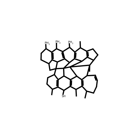 CC1CCC=CC2C3=C1C(C)C1=C4C3C35C6C7=C(CCC7C23C)C(C)C2=C6C3C6=C(C(P)C7=C8C(CCC7P)CC7(C9CCC(C)C(=C9C4C375)C1S)C86)C2P